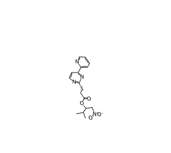 CC(C)C(C[N+](=O)[O-])OC(=O)CSc1nccc(-c2ccccn2)n1